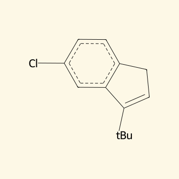 CC(C)(C)C1=CCc2ccc(Cl)cc21